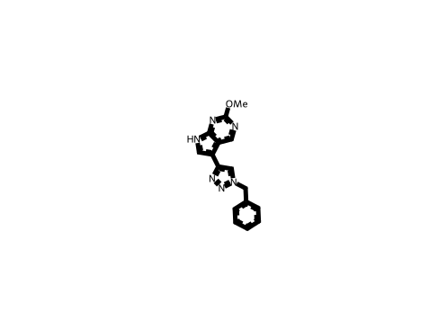 COc1ncc2c(-c3cn(Cc4ccccc4)nn3)c[nH]c2n1